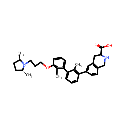 Cc1c(OCCCN2[C@H](C)CC[C@H]2C)cccc1-c1cccc(-c2ccc3c(c2)CC(C(=O)O)NC3)c1C